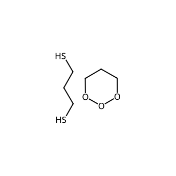 C1COOOC1.SCCCS